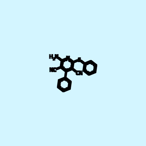 N#Cc1c(N)nc(Sc2ccccc2)c(C#N)c1-c1ccccc1